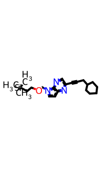 C[Si](C)(C)CCOCn1ccc2nc(C#CCC3CCCCC3)cnc21